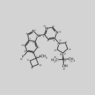 CC1(c2cc3c(cnn3-c3cc(N4CC[C@@H](C(C)(C)O)C4)ncn3)cc2F)CCC1